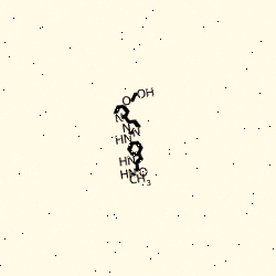 CNC(=O)c1cc2ccc(Nc3nccc(-c4cc(OCCO)ccn4)n3)cc2[nH]1